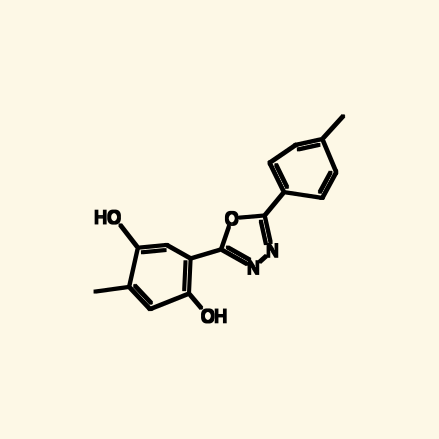 Cc1ccc(-c2nnc(-c3cc(O)c(C)cc3O)o2)cc1